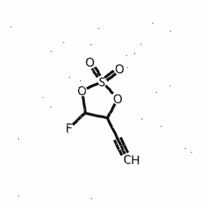 C#CC1OS(=O)(=O)OC1F